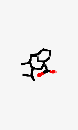 CC(C)C1C[C@]2(C(=O)O)CCCC(=CC1C)C2